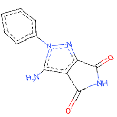 Nc1c2c(nn1-c1ccccc1)C(=O)NC2=O